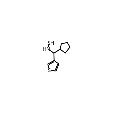 SNC(c1ccsc1)C1CCCC1